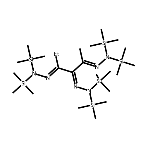 CCC(=NN([Si](C)(C)C)[Si](C)(C)C)C(=NN([Si](C)(C)C)[Si](C)(C)C)C(C)=NN([Si](C)(C)C)[Si](C)(C)C